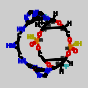 O=[P@]1(S)OC[C@H]2O[C@@H]3[C@H](F)[C@@H]2O[P@](=O)(S)OCC2OC([C@H](F)[C@@H]2O1)n1cnc2c(ncnc21)NCC1NC1CNc1ncnc2c1ncn23